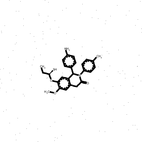 CC[C@@H](S)Oc1cc2c(cc1OC)CC(=O)N(c1ccc(C)cc1)C2c1ccc(N)cc1